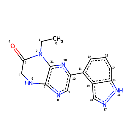 CCN1C(=O)CNc2ncc(-c3cccc4[nH]ncc34)nc21